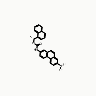 C[C@@H](NC(=O)Nc1ccc2c(ccc3cc([N+](=O)[O-])ccc32)c1)c1cccc2ccccc12